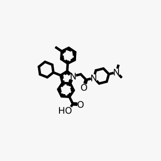 Cc1cccc(-c2c(C3CCCCC3)c3ccc(C(=O)O)cc3n2CC(=O)N2CCC(N(C)C)CC2)c1